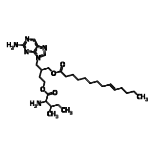 CCCCC=CCCCCCCCC(=O)OCC(CCOC(=O)C(N)C(C)CC)Cn1cnc2cnc(N)nc21